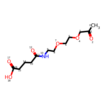 CC(=O)COCCOCCNC(=O)CCCC(=O)O